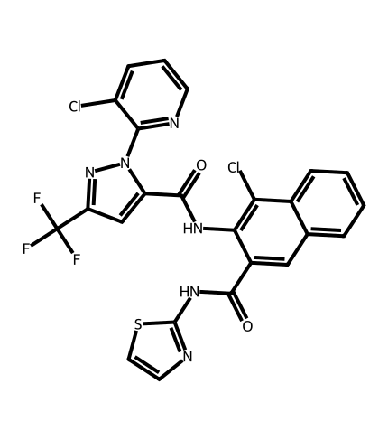 O=C(Nc1nccs1)c1cc2ccccc2c(Cl)c1NC(=O)c1cc(C(F)(F)F)nn1-c1ncccc1Cl